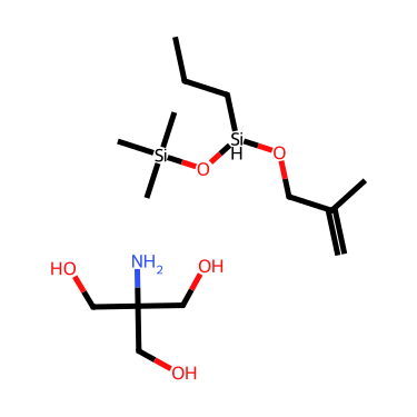 C=C(C)CO[SiH](CCC)O[Si](C)(C)C.NC(CO)(CO)CO